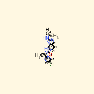 CC(C)Nc1ncc2c(n1)CN(C(=O)NC(C)c1ncc(Cl)cn1)CC2